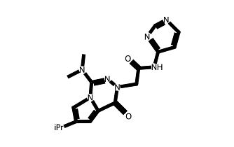 CC(C)c1cc2c(=O)n(CC(=O)Nc3ccncn3)nc(N(C)C)n2c1